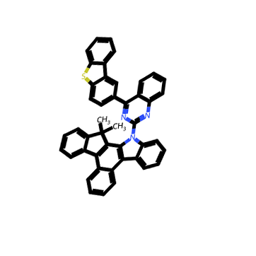 CC1(C)c2ccccc2-c2c1c1c(c3ccccc23)c2ccccc2n1-c1nc(-c2ccc3sc4ccccc4c3c2)c2ccccc2n1